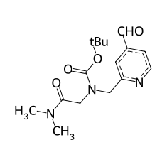 CN(C)C(=O)CN(Cc1cc(C=O)ccn1)C(=O)OC(C)(C)C